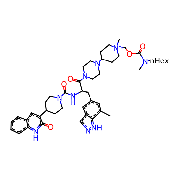 CCCCCCN(C)C(=O)OC[N+]1(C)CCC(N2CCN(C(=O)[C@@H](Cc3cc(C)c4[nH]ncc4c3)NC(=O)N3CCC(c4cc5ccccc5[nH]c4=O)CC3)CC2)CC1